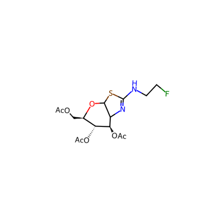 CC(=O)OC[C@H]1OC2SC(NCCF)=NC2[C@@H](OC(C)=O)[C@@H]1OC(C)=O